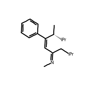 C/N=C(\C=C(\c1ccccc1)[C@H](C)C(C)C)CC(C)C